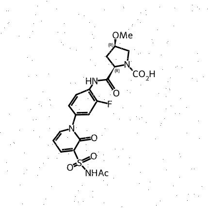 CO[C@@H]1C[C@H](C(=O)Nc2ccc(-n3cccc(S(=O)(=O)NC(C)=O)c3=O)cc2F)N(C(=O)O)C1